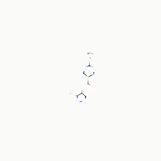 Cn1cc(NC(=O)c2cnc(C3CC3)nc2)c(C(F)F)n1